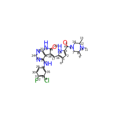 Cc1cc(C(=O)N2CC(C)N(C)C(C)C2)[nH]c1C=C1C(=O)Nc2ncnc(Nc3ccc(F)c(Cl)c3)c21